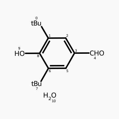 CC(C)(C)c1cc(C=O)cc(C(C)(C)C)c1O.O